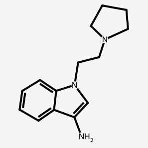 Nc1cn(CCN2CCCC2)c2ccccc12